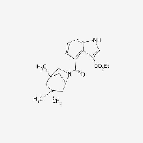 CCOC(=O)c1c[nH]c2cccc(C(=O)N3CC4(C)CC3CC(C)(C)C4)c12